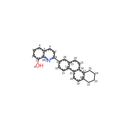 Oc1cccc2ccc(-c3ccc4c(ccc5c6c(ccc54)CCCC6)c3)nc12